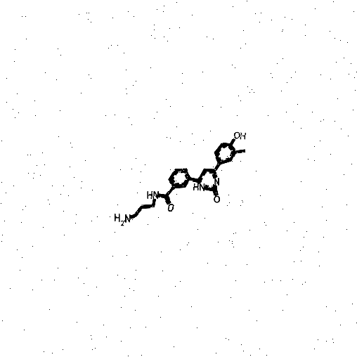 Cc1cc(-c2cc(-c3cccc(C(=O)NCCCN)c3)[nH]c(=O)n2)ccc1O